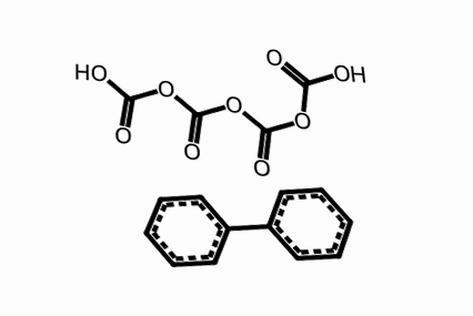 O=C(O)OC(=O)OC(=O)OC(=O)O.c1ccc(-c2ccccc2)cc1